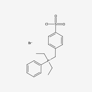 CC[P+](CC)(Cc1ccc(S(=O)(=O)Cl)cc1)c1ccccc1.[Br-]